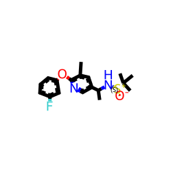 Cc1cc(C(C)N[S@+]([O-])C(C)(C)C)cnc1Oc1cccc(F)c1